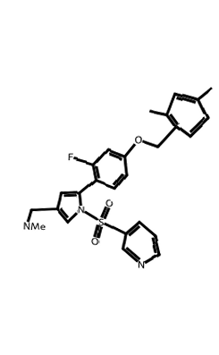 CNCc1cc(-c2ccc(OCc3ccc(C)cc3C)cc2F)n(S(=O)(=O)c2cccnc2)c1